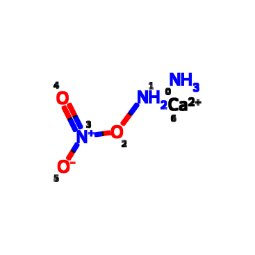 N.NO[N+](=O)[O-].[Ca+2]